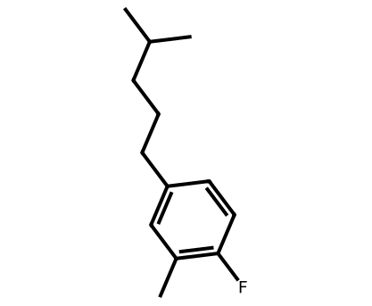 Cc1cc(CCCC(C)C)ccc1F